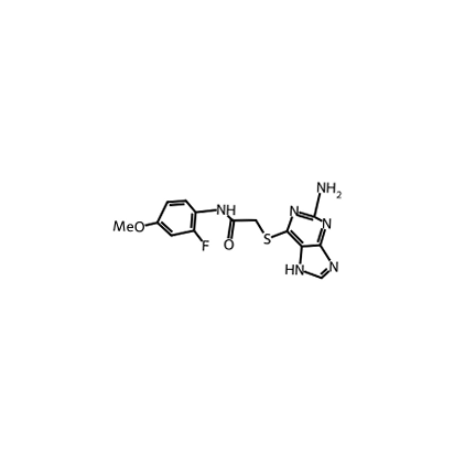 COc1ccc(NC(=O)CSc2nc(N)nc3nc[nH]c23)c(F)c1